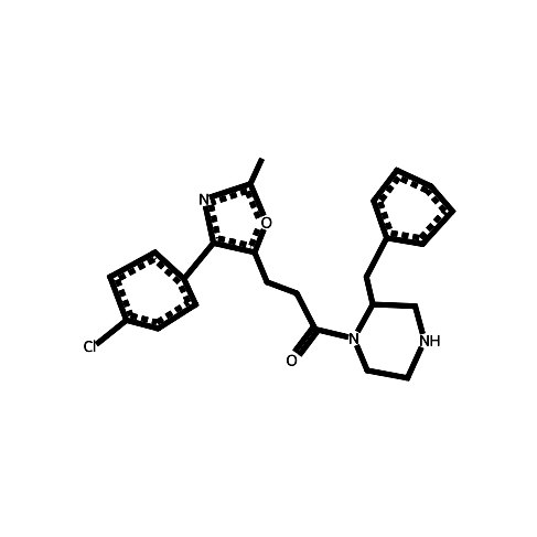 Cc1nc(-c2ccc(Cl)cc2)c(CCC(=O)N2CCNCC2Cc2ccccc2)o1